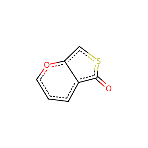 O=c1scc2occcc1-2